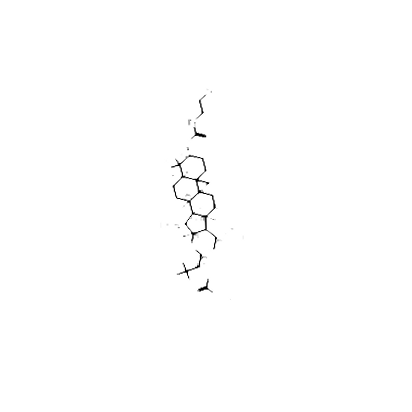 CC(=O)O[C@@H]([C@H]1C[C@@H](C)C2[C@H](O1)[C@H](O)[C@@]1(C)[C@@H]3CC[C@H]4C(C)(C)[C@@H](OC(=O)NCCN)CCC45C[C@@]35CC[C@]21C)C(C)(C)O